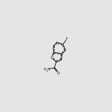 NC(=O)c1cc2cc(F)ccc2s1